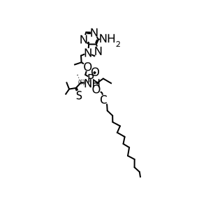 CCCCCCCCCCCCCCCCOC(CC)P(=O)(COC(C)Cn1cnc2c(N)ncnc21)N[C@@H](C)C(=S)C(C)C